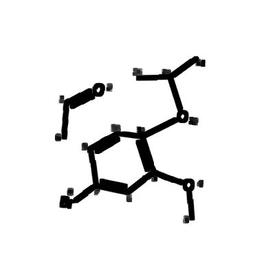 CC=O.COc1cc(Br)ccc1OC(C)C